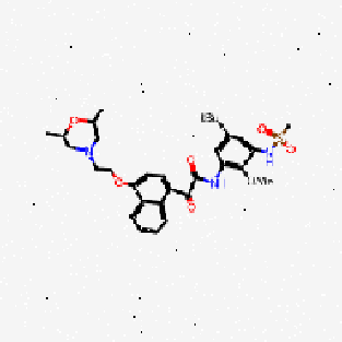 COc1c(NC(=O)C(=O)c2ccc(OCCN3CC(C)OC(C)C3)c3ccccc23)cc(C(C)(C)C)cc1NS(C)(=O)=O